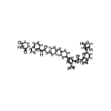 O=C1CC[C@H](c2csc3c(NC(=O)CN4CCN(CC5CCC(n6cc(NC(=O)c7cnn8ccc(N9C[C@H]%10C[C@@H]9CO%10)nc78)c(C(F)F)n6)CC5)CC4)cccc23)C(=O)N1